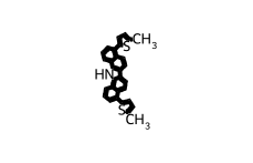 Cc1ccc(-c2cccc3c2ccc2c4ccc5c(-c6ccc(C)s6)cccc5c4[nH]c32)s1